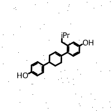 CC(C)Cc1cc(O)ccc1C1=CCC(c2ccc(O)cc2)CC1